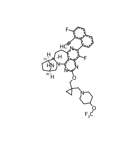 C#Cc1c(F)ccc2cccc(-c3nc4c5c(nc(OCC6(CN7CCC(OC(F)(F)F)CC7)CC6)nc5c3F)N3C[C@H]5CC[C@H](N5)[C@H]3CC4)c12